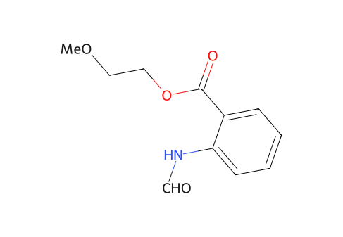 COCCOC(=O)c1ccccc1NC=O